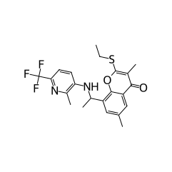 CCSc1oc2c(C(C)Nc3ccc(C(F)(F)F)nc3C)cc(C)cc2c(=O)c1C